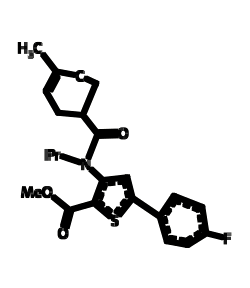 COC(=O)c1sc(-c2ccc(F)cc2)cc1N(C(=O)C1CC=C(C)CC1)C(C)C